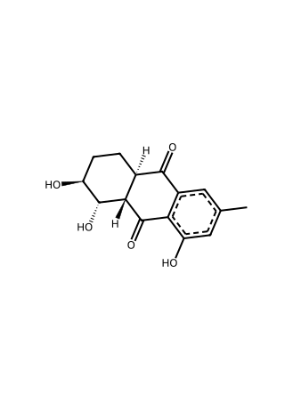 Cc1cc(O)c2c(c1)C(=O)[C@@H]1CC[C@H](O)[C@@H](O)[C@H]1C2=O